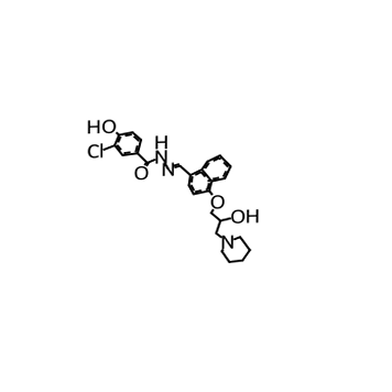 O=C(N/N=C/c1ccc(OCC(O)CN2CCCCC2)c2ccccc12)c1ccc(O)c(Cl)c1